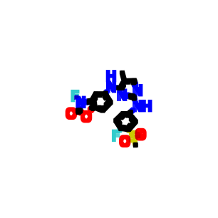 Cc1cnc(Nc2ccc(F)c(S(C)(=O)=O)c2)nc1Nc1ccc2oc(=O)n(F)c2c1